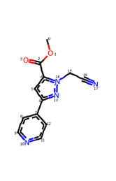 COC(=O)c1cc(-c2ccncc2)nn1CC#N